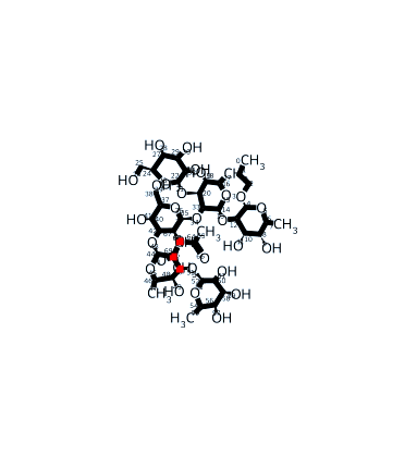 CCCO[C@@H]1OC(C)[C@H](O)[C@H](O)C1O[C@@H]1OC(C)[C@H](O)[C@H](O[C@H]2O[C@@H](CO)[C@@H](O)C(O)C2O)C1O[C@@H]1OC(CO)[C@@H](O)C(O[C@@H]2OC(C)[C@H](O)[C@H](O[C@@H]3OC(C)[C@H](O)[C@H](O)C3O)C2OC(C)=O)[C@@H]1NC(C)=O